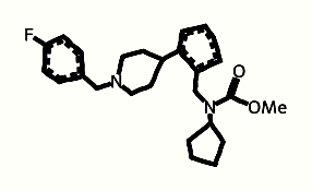 COC(=O)N(Cc1ccccc1C1CCN(Cc2ccc(F)cc2)CC1)C1CCCC1